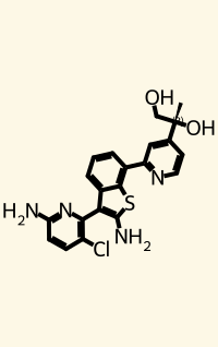 C[C@](O)(CO)c1ccnc(-c2cccc3c(-c4nc(N)ccc4Cl)c(N)sc23)c1